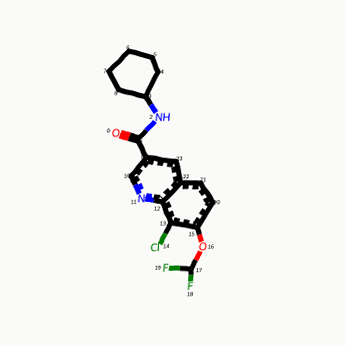 O=C(NC1CCCCC1)c1cnc2c(Cl)c(OC(F)F)ccc2c1